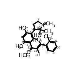 CN1CCC(c2c(O)cc(O)c3c(=O)c(I)c(-c4ccccc4Cl)oc23)C1(C)O.Cl